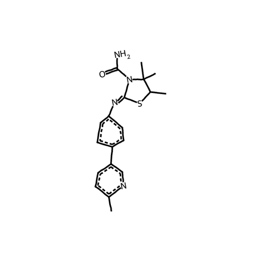 Cc1ccc(-c2ccc(N=C3SC(C)C(C)(C)N3C(N)=O)cc2)cn1